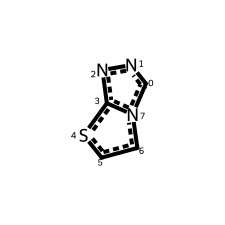 [c]1nnc2sccn12